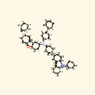 c1ccc(-c2ccc(N(c3ccc(-c4ccc5c(c4)c4ccccc4n5-c4ccccc4)cc3)c3ccc4oc5ccc(-c6ccccc6)cc5c4c3)cc2)cc1